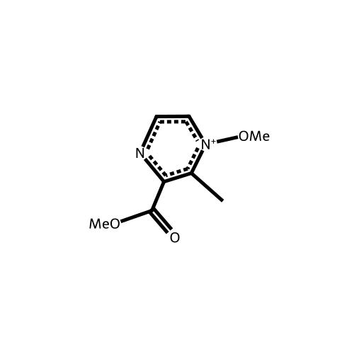 COC(=O)c1ncc[n+](OC)c1C